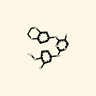 Fc1cnc(Nc2ccc(OC(F)(F)F)c(Cl)c2)nc1Nc1ccc2c(c1)OCCO2